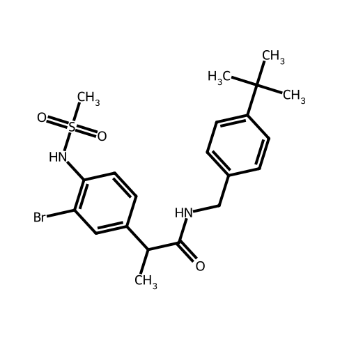 CC(C(=O)NCc1ccc(C(C)(C)C)cc1)c1ccc(NS(C)(=O)=O)c(Br)c1